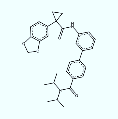 CC(C)N(C(=O)c1ccc(-c2cccc(NC(=O)C3(c4ccc5c(c4)OCO5)CC3)c2)cc1)C(C)C